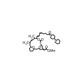 COC(=O)/C=C1\CC2CC(=O)OC(/C=C/C=C\CCCC(=O)N3CCC(N4CCCCC4)CC3)C(C)/C=C/C(C)CC3CCCC(CC(C1)O2)O3